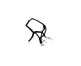 CC1(C)C2CCC1(I)C(=O)C2